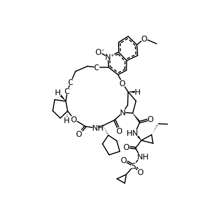 CC[C@@H]1C[C@]1(NC(=O)[C@@H]1C[C@@H]2CN1C(=O)[C@H](C1CCCC1)NC(=O)O[C@H]1CCC[C@@H]1CCCCCc1c(cc3cc(OC)ccc3[n+]1[O-])O2)C(=O)NS(=O)(=O)C1CC1